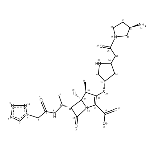 CC(NC(=O)Cn1cnnn1)[C@H]1C(=O)N2C(C(=O)O)=C(S[C@@H]3CNC(CC(=O)N4CC[C@@H](N)C4)C3)[C@H](C)[C@H]12